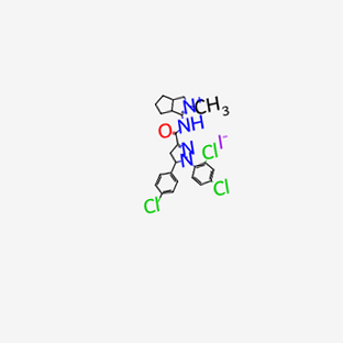 C[N+]1=C(NC(=O)C2=NN(c3ccc(Cl)cc3Cl)C(c3ccc(Cl)cc3)C2)C2CCCC2C1.[I-]